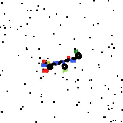 O=C(CCN(CCNCCc1ccc(O)c2[nH]c(=O)sc12)C1CCC(F)(F)CC1)NCCc1cccc(Cl)c1